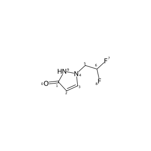 O=c1ccn(CC(F)F)[nH]1